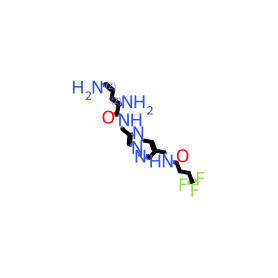 N/C=C\C=C(/N)C(=O)NCc1cn2ncc(CNC(=O)CCC(F)(F)F)cc2n1